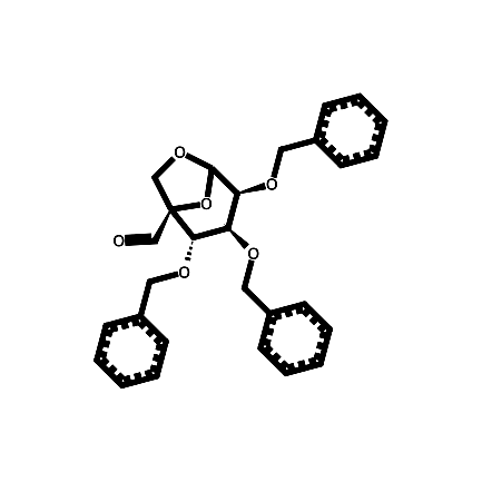 O=C[C@@]12COC(O1)[C@@H](OCc1ccccc1)[C@@H](OCc1ccccc1)[C@@H]2OCc1ccccc1